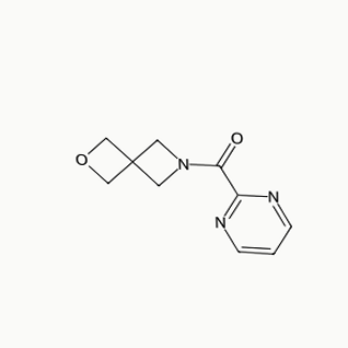 O=C(c1ncccn1)N1CC2(COC2)C1